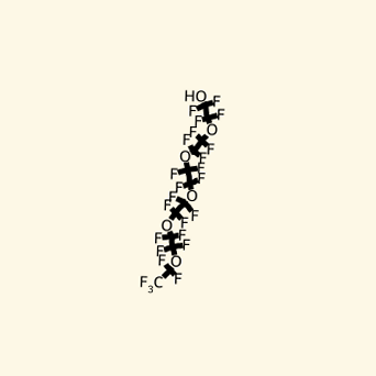 OC(F)(F)C(F)(F)OC(F)(F)C(F)(F)OC(F)(F)C(F)(F)OC(F)(F)C(F)(F)OC(F)(F)C(F)(F)OC(F)(F)C(F)(F)F